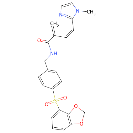 C=C(/C=C\c1nccn1C)C(=O)NCc1ccc(S(=O)(=O)c2cccc3c2OCO3)cc1